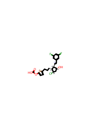 O=C(O)Oc1ccc(CCC[C@@H]2[C@@H](/C=C/c3cc(F)cc(F)c3)[C@H](O)C[C@H]2Cl)s1